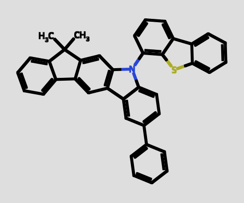 CC1(C)c2ccccc2-c2cc3c4cc(-c5ccccc5)ccc4n(-c4cccc5c4sc4ccccc45)c3cc21